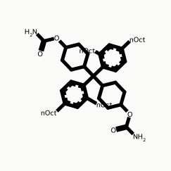 CCCCCCCCc1ccc(C(c2ccc(CCCCCCCC)cc2CCCCCCCC)(C2CCC(OC(N)=O)CC2)C2CCC(OC(N)=O)CC2)c(CCCCCCCC)c1